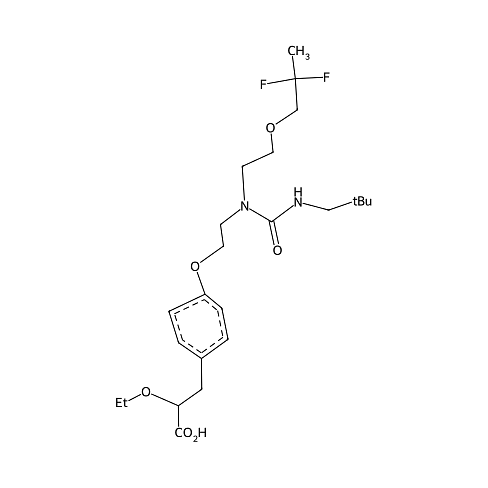 CCOC(Cc1ccc(OCCN(CCOCC(C)(F)F)C(=O)NCC(C)(C)C)cc1)C(=O)O